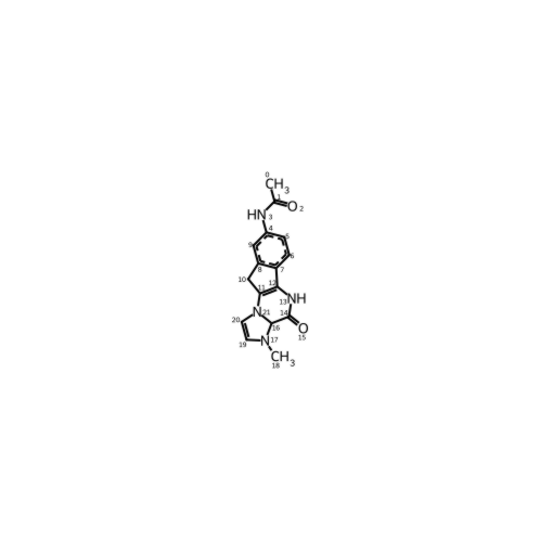 CC(=O)Nc1ccc2c(c1)CC1=C2NC(=O)C2N(C)C=CN12